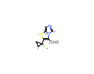 O=Cc1c(C2(F)CC2)sc2cncn12